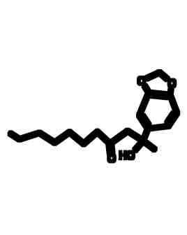 CCCCCCCC(=O)CC(C)(O)c1ccc2c(c1)OCO2